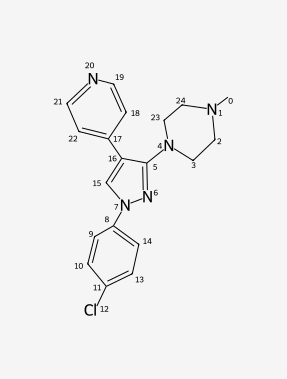 CN1CCN(c2nn(-c3ccc(Cl)cc3)cc2-c2ccncc2)CC1